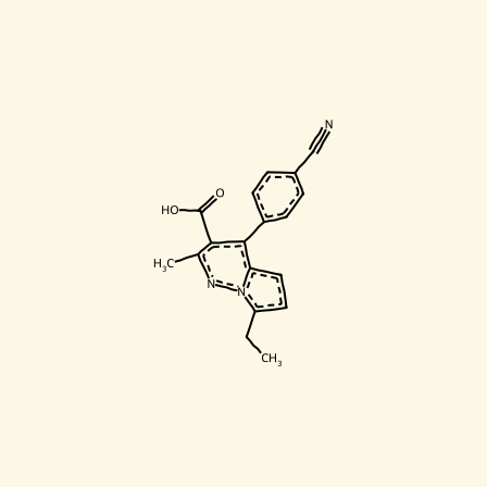 CCc1ccc2c(-c3ccc(C#N)cc3)c(C(=O)O)c(C)nn12